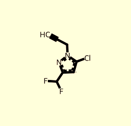 C#CCn1nc(C(F)F)[c]c1Cl